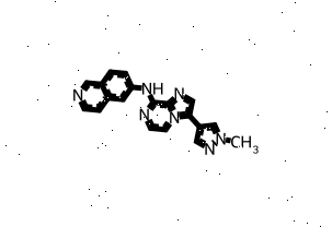 Cn1cc(-c2cnc3c(Nc4ccc5cnccc5c4)nccn23)cn1